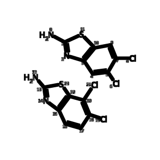 Nc1nc2cc(Cl)c(Cl)cc2s1.Nc1nc2ccc(Cl)c(Cl)c2s1